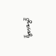 O=C(O)CCOCCOCC(=O)O